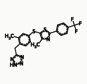 Cc1cc(Sc2sc(-c3ccc(C(F)(F)F)cc3)nc2C)ccc1Cc1nn[nH]n1